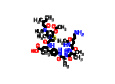 CC[C@H](C)CC(=O)N(C)[C@H](C[C@@H](OC(C)=O)c1nc(C(=O)N[C@@H](Cc2ccc(NC(=O)[C@H](C)NC(=O)[C@@H](NC(=O)[C@H](CCCCN)NC(C)=O)C(C)C)cc2)C[C@H](C)C(=O)O)cs1)C(C)C